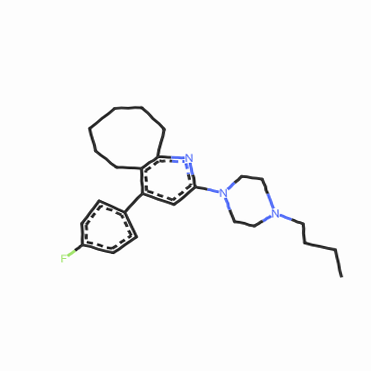 CCCCN1CCN(c2cc(-c3ccc(F)cc3)c3c(n2)CCCCCC3)CC1